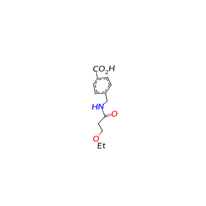 CCOCCC(=O)NCc1ccc(C(=O)O)cc1